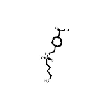 CCCCCS(=O)(=O)NCc1ccc(C(=O)O)cc1